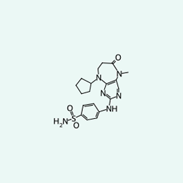 CN1C(=O)CCN(C2CCCC2)c2nc(Nc3ccc(S(N)(=O)=O)cc3)ncc21